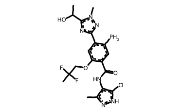 Cc1n[nH]c(Cl)c1NC(=O)c1cc(P)c(-c2nc(C(C)O)n(C)n2)cc1OCC(C)(F)F